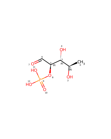 C[C@@H](O)[C@@H](O)[C@H](C=O)OP(=O)(O)O